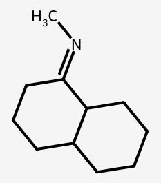 CN=C1CCCC2CCCCC12